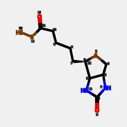 O=C1NC2CS[C@@H](CCCCC(=O)SS)C2N1